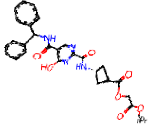 CC(C)OC(=O)COC(=O)[C@H]1C[C@H](NC(=O)c2ncc(C(=O)NC(c3ccccc3)c3ccccc3)c(O)n2)C1